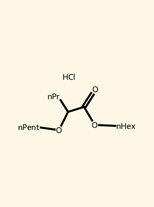 CCCCCCOC(=O)C(CCC)OCCCCC.Cl